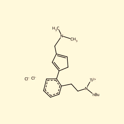 CCCC[N]([Ti+2])CCc1ccccc1C1=CC(CN(C)C)=CC1.[Cl-].[Cl-]